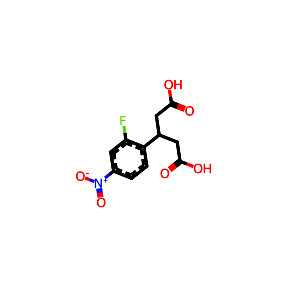 O=C(O)CC(CC(=O)O)c1ccc([N+](=O)[O-])cc1F